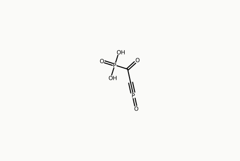 O=P#CC(=O)P(=O)(O)O